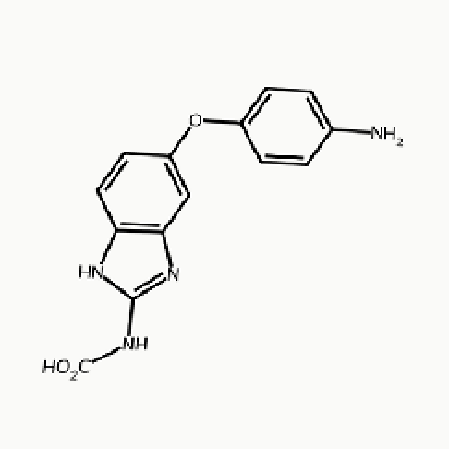 Nc1ccc(Oc2ccc3[nH]c(NC(=O)O)nc3c2)cc1